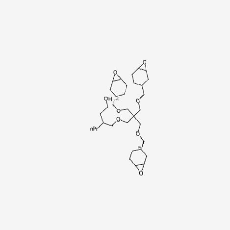 CCCC(CCO)COCC(COCC1CCC2OC2C1)(COC[C@H]1CCC2OC2C1)COC[C@@H]1CCC2OC2C1